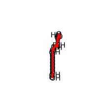 COc1ccc(C(=O)N2CCC3(CCN(CCc4ccc(-c5cc6c(-c7cc(F)cc(NC(=O)c8ccc(C(C)(C)OC(=O)CNC(=O)CCOCCOCCOCCOCCOCCOCCOCCOCCOCCOCCOCCOCCNC(=O)CCCC(=O)O)cc8F)c7C)ncnc6[nH]5)cc4)CC3)CC2)cc1N1CCC(=O)NC1=O